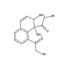 CC(C)CC(=O)c1cccc2c1C(N)(C(=O)CC(C)C)C(N)C=C2